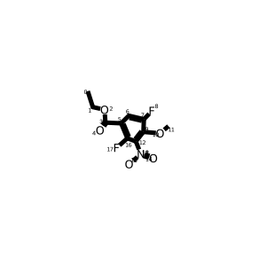 CCOC(=O)c1cc(F)c(OC)c([N+](=O)[O-])c1F